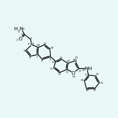 NC(=O)Cn1ccc2cc(-c3ccc4oc(Nc5ccccc5)nc4c3)ccc21